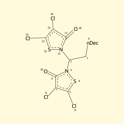 CCCCCCCCCCCC(n1sc(Cl)c(Cl)c1=O)n1sc(Cl)c(Cl)c1=O